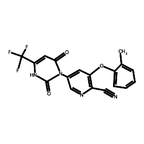 Cc1ccccc1Oc1cc(-n2c(=O)cc(C(F)(F)F)[nH]c2=O)cnc1C#N